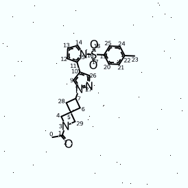 CC(=O)N1CC2(CC(n3cc(-c4cccn4S(=O)(=O)c4ccc(C)cc4)cn3)C2)C1